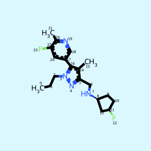 CCCn1nc(CN[C@H]2CC[C@@H](F)C2)c(C)c1-c1cnc(C)c(F)c1